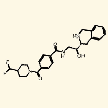 O=C(NCC(O)[C@@H]1Cc2ccccc2CN1)c1ccc(C(=O)N2CCC(C(F)F)CC2)cc1